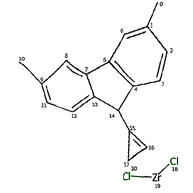 Cc1ccc2c(c1)-c1cc(C)ccc1C2C1=CC1.[Cl][Zr][Cl]